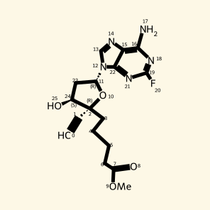 C#C[C@@]1(CCCCC(=O)OC)O[C@@H](n2cnc3c(N)nc(F)nc32)C[C@@H]1O